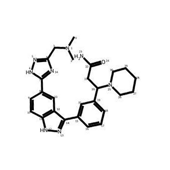 CN(C)Cc1n[nH]c(-c2ccc3[nH]nc(-c4cccc(C(CC(N)=O)N5CCCCC5)c4)c3c2)n1